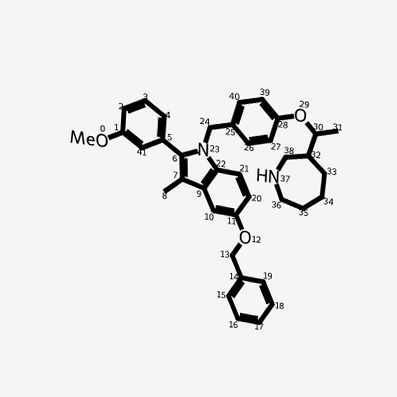 COc1cccc(-c2c(C)c3cc(OCc4ccccc4)ccc3n2Cc2ccc(OC(C)C3CCCCNC3)cc2)c1